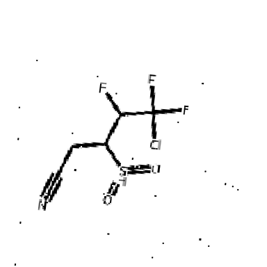 N#CCC(C(F)C(F)(F)Cl)[SH](=O)=O